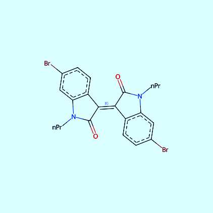 CCCN1C(=O)/C(=C2/C(=O)N(CCC)c3cc(Br)ccc32)c2ccc(Br)cc21